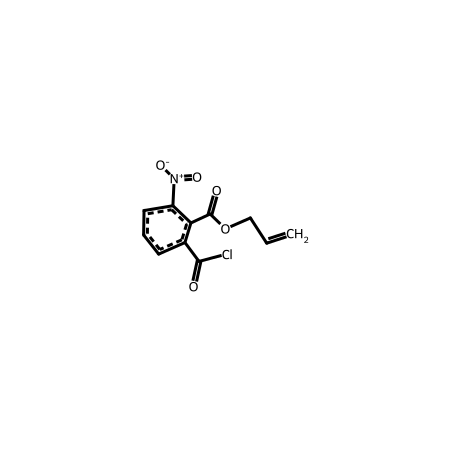 C=CCOC(=O)c1c(C(=O)Cl)cccc1[N+](=O)[O-]